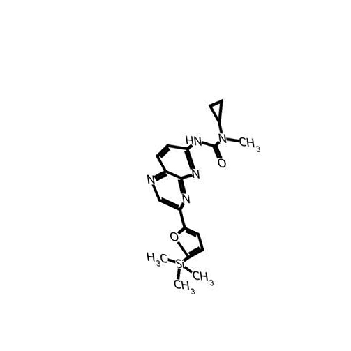 CN(C(=O)Nc1ccc2ncc(-c3ccc([Si](C)(C)C)o3)nc2n1)C1CC1